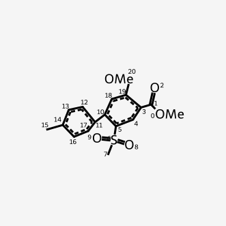 COC(=O)c1cc(S(C)(=O)=O)c(-c2ccc(C)cc2)cc1OC